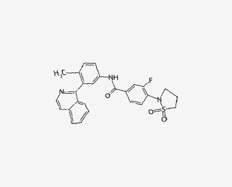 Cc1ccc(NC(=O)c2ccc(N3CCCS3(=O)=O)c(F)c2)cc1-c1nccc2ccccc12